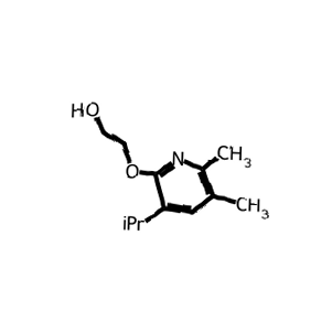 Cc1cc(C(C)C)c(OCCO)nc1C